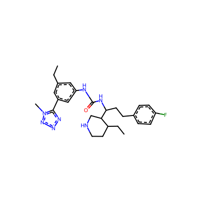 CCc1cc(NC(=O)NC(CCc2ccc(F)cc2)C2CNCCC2CC)cc(-c2nnnn2C)c1